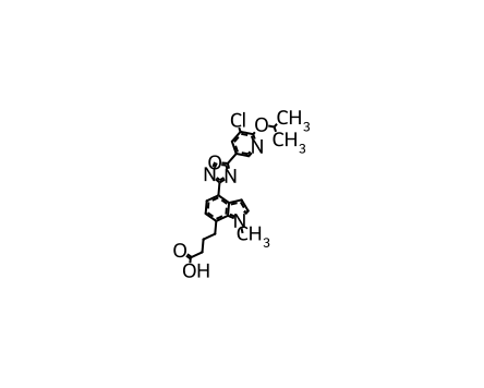 CC(C)Oc1ncc(-c2nc(-c3ccc(CCCC(=O)O)c4c3ccn4C)no2)cc1Cl